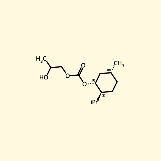 CC(O)COC(=O)O[C@@H]1C[C@H](C)CC[C@H]1C(C)C